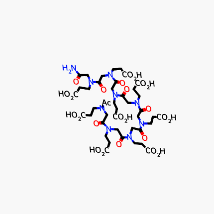 CC(=O)N(CCC(=O)O)CC(=O)N(CCC(=O)O)CC(=O)N(CCC(=O)O)CC(=O)N(CCC(=O)O)CC(=O)N(CCC(=O)O)CC(=O)N(CCC(=O)O)CC(=O)N(CCC(=O)O)CC(=O)N(CCC(=O)O)CC(N)=O